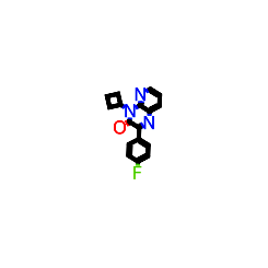 O=c1c(-c2ccc(F)cc2)nc2cccnc2n1C1CCC1